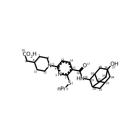 CCCSc1nc(N2CCC(CC(=O)O)CC2)ccc1C(=O)NC1C2CC3CC1CC(O)(C3)C2